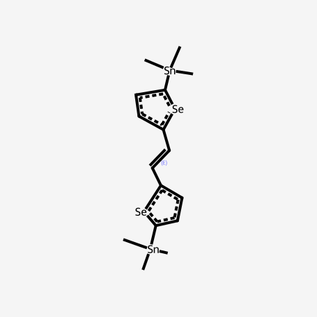 [CH3][Sn]([CH3])([CH3])[c]1ccc(/C=C/c2cc[c]([Sn]([CH3])([CH3])[CH3])[se]2)[se]1